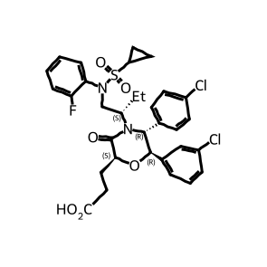 CC[C@@H](CN(c1ccccc1F)S(=O)(=O)C1CC1)N1C(=O)[C@H](CCC(=O)O)O[C@H](c2cccc(Cl)c2)[C@H]1c1ccc(Cl)cc1